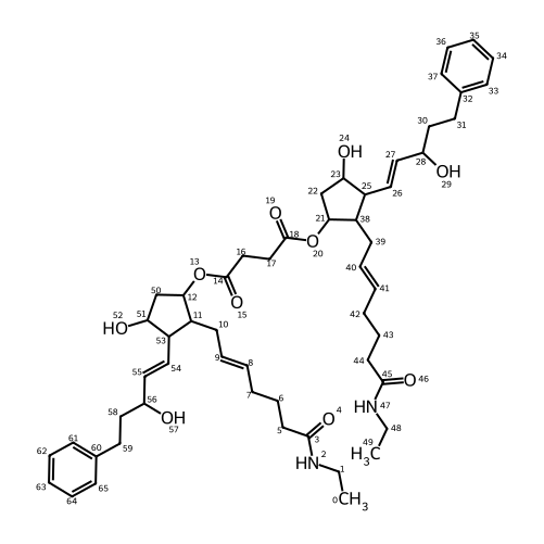 CCNC(=O)CCCC=CCC1C(OC(=O)CCC(=O)OC2CC(O)C(C=CC(O)CCc3ccccc3)C2CC=CCCCC(=O)NCC)CC(O)C1C=CC(O)CCc1ccccc1